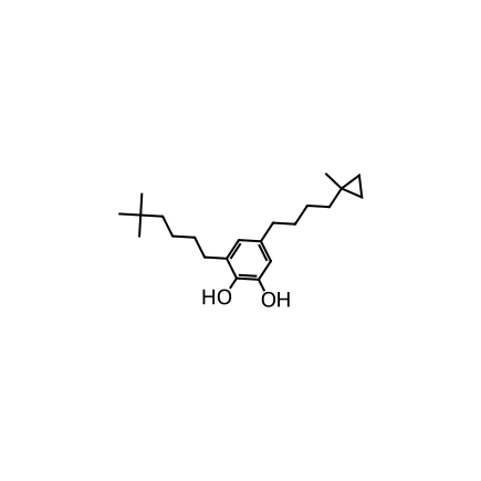 CC(C)(C)CCCCc1cc(CCCCC2(C)CC2)cc(O)c1O